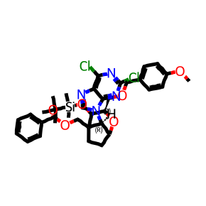 COc1ccc(COC[C@H]2OC3CCC(COC(=O)c4ccccc4)(C2O[Si](C)(C)C(C)(C)C)[C@H]3n2cnc3c(Cl)nc(Cl)nc32)cc1